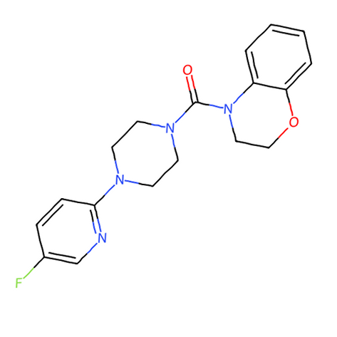 O=C(N1CCN(c2ccc(F)cn2)CC1)N1CCOc2ccccc21